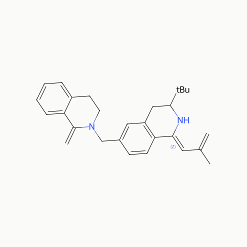 C=C(C)/C=C1\NC(C(C)(C)C)Cc2cc(CN3CCc4ccccc4C3=C)ccc21